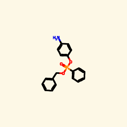 Nc1ccc(OP(=O)(OCc2ccccc2)c2ccccc2)cc1